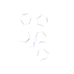 Cc1oc(-c2ccccc2)nc1C[P+](c1ccccc1)(c1ccccc1)c1ccccc1.[Cl-]